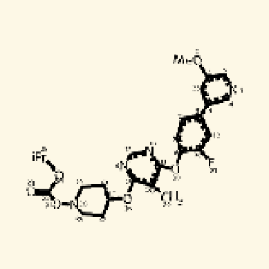 COc1cncc(-c2ccc(Oc3ncnc(OC4CCN(OC(=O)OC(C)C)CC4)c3C)c(F)c2)c1